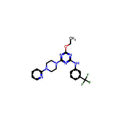 CCOc1nc(Nc2cccc(C(F)(F)F)c2)nc(N2CCN(c3ccccn3)CC2)n1